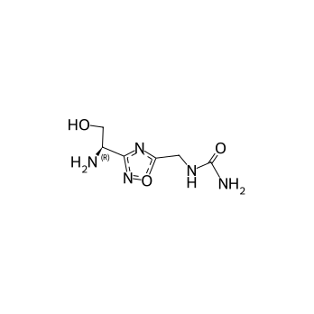 NC(=O)NCc1nc([C@@H](N)CO)no1